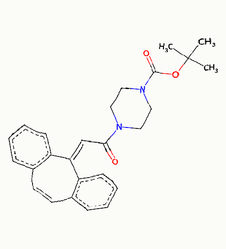 CC(C)(C)OC(=O)N1CCN(C(=O)C=C2c3ccccc3C=Cc3ccccc32)CC1